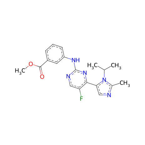 COC(=O)c1cccc(Nc2ncc(F)c(-c3cnc(C)n3C(C)C)n2)c1